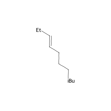 [CH2]CC(C)CCC/C=C/CC